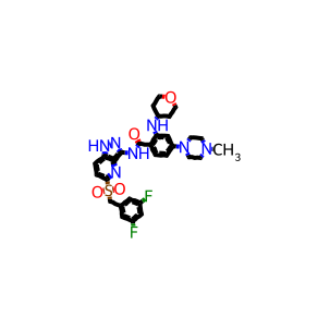 CN1CCN(c2ccc(C(=O)Nc3n[nH]c4ccc(S(=O)(=O)Cc5cc(F)cc(F)c5)nc34)c(NC3CCOCC3)c2)CC1